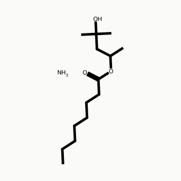 CCCCCCCC(=O)OC(C)CC(C)(C)O.N